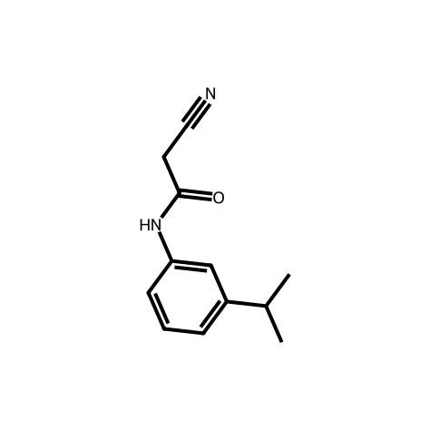 CC(C)c1cccc(NC(=O)CC#N)c1